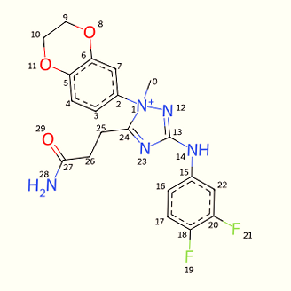 C[N+]1(c2ccc3c(c2)OCCO3)N=C(Nc2ccc(F)c(F)c2)N=C1CCC(N)=O